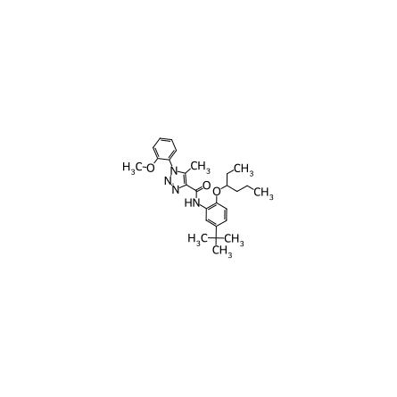 CCCC(CC)Oc1ccc(C(C)(C)C)cc1NC(=O)c1nnn(-c2ccccc2OC)c1C